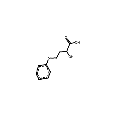 O=C(O)C(O)CCSc1ccccc1